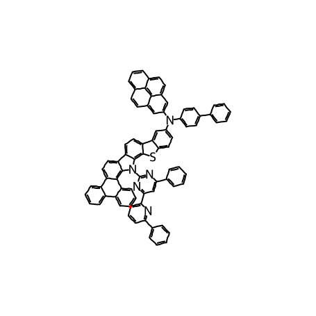 c1ccc(-c2ccc(N(c3cc4ccc5cccc6ccc(c3)c4c56)c3ccc4sc5c(ccc6c7ccc8c9ccccc9c9ccccc9c8c7n(-c7nc(-c8ccccc8)cc(-c8cccc(-c9ccccc9)n8)n7)c65)c4c3)cc2)cc1